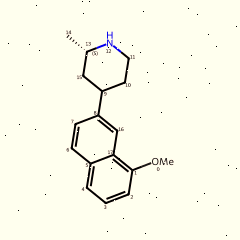 COc1cccc2ccc(C3CCN[C@@H](C)C3)cc12